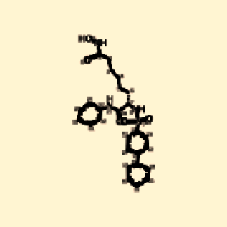 O=C(CCCCC[C@H](NS(=O)(=O)c1ccc(-c2ccccc2)cc1)C(=O)Nc1ccccc1)NO